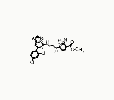 COC(=O)c1ccc(NCCNc2nc(-c3ccc(Cl)cc3Cl)cc3ncnn23)nc1N